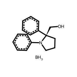 B.OC[C@@]1(c2ccccc2)CCCN1c1ccccc1